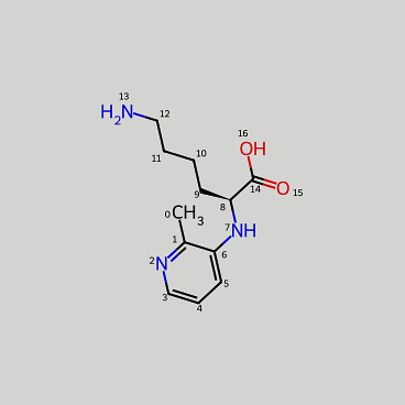 Cc1ncccc1N[C@@H](CCCCN)C(=O)O